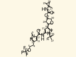 Cn1nc(CCOC(F)(F)F)cc1C(=O)Nc1cc(C2CC(OC(=O)NC3(C)CC3)CO2)nn1C(C)(C)C